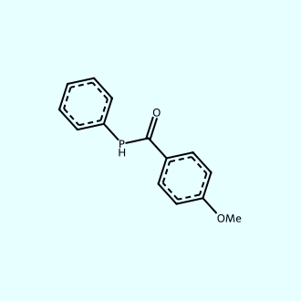 COc1ccc(C(=O)Pc2ccccc2)cc1